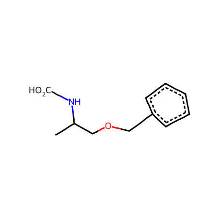 CC(COCc1ccccc1)NC(=O)O